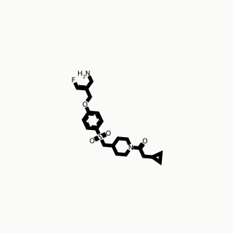 NCC(=CF)COc1ccc(S(=O)(=O)CC2CCN(C(=O)CC3CC3)CC2)cc1